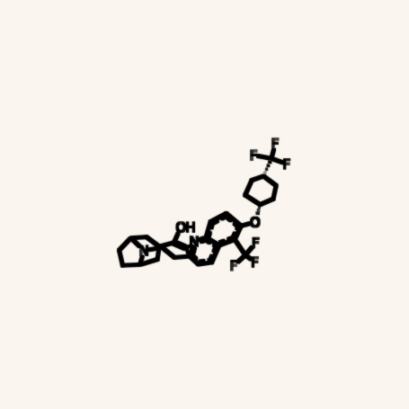 O=C(O)C1CC2CCC(C1)N2CCc1ccc2c(C(F)(F)F)c(O[C@H]3CC[C@@H](C(F)(F)F)CC3)ccc2n1